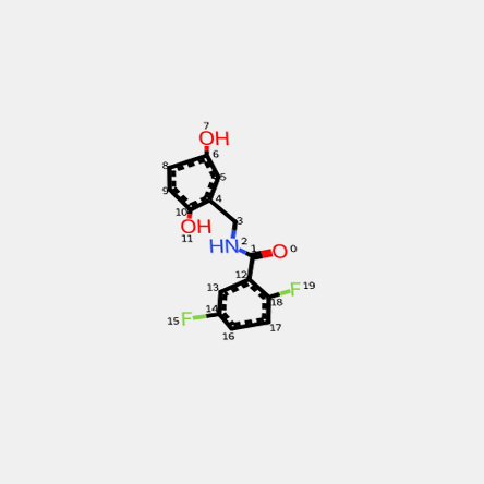 O=C(NCc1cc(O)ccc1O)c1cc(F)ccc1F